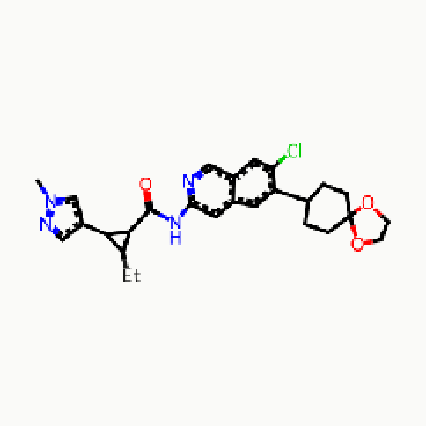 CCC1C(C(=O)Nc2cc3cc(C4CCC5(CC4)OCCO5)c(Cl)cc3cn2)C1c1cnn(C)c1